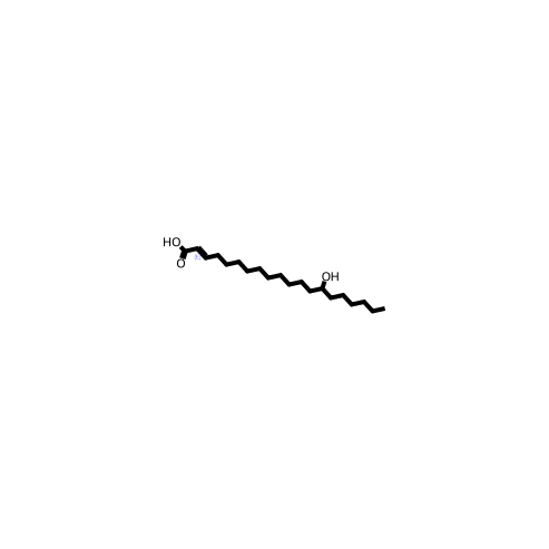 CCCCCCC(O)CCCCCCCCCC/C=C/C(=O)O